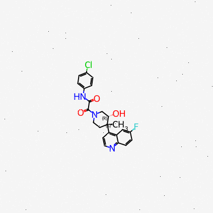 C[C@@]1(c2ccnc3ccc(F)cc23)CCN(C(=O)C(=O)Nc2ccc(Cl)cc2)C[C@@H]1O